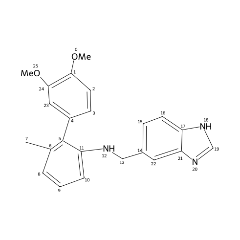 COc1ccc(-c2c(C)cccc2NCc2ccc3[nH]cnc3c2)cc1OC